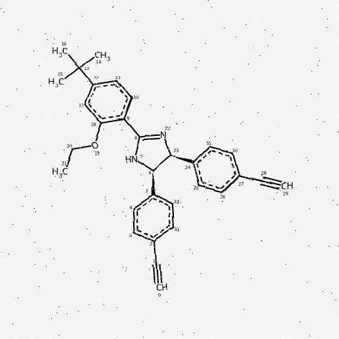 C#Cc1ccc([C@H]2NC(c3ccc(C(C)(C)C)cc3OCC)=N[C@H]2c2ccc(C#C)cc2)cc1